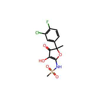 CC1(c2ccc(F)c(Cl)c2)OC(NS(C)(=O)=O)=C(O)C1=O